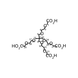 O=C(O)COCCOCC(COCCOCC(=O)O)(COCCOCC(=O)O)COCCOCC(=O)O